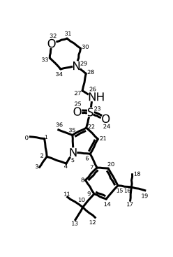 CCC(C)Cn1c(-c2cc(C(C)(C)C)cc(C(C)(C)C)c2)cc(S(=O)(=O)NCCN2CCOCC2)c1C